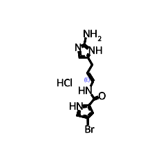 Cl.Nc1ncc(C/C=C/NC(=O)c2cc(Br)c[nH]2)[nH]1